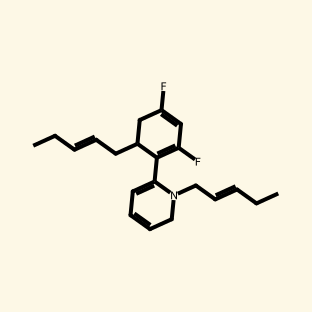 CCC=CCC1CC(F)=CC(F)=C1C1=CC=CCN1CC=CCC